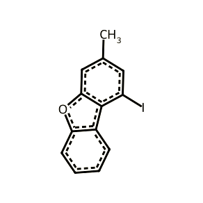 Cc1cc(I)c2c(c1)oc1ccccc12